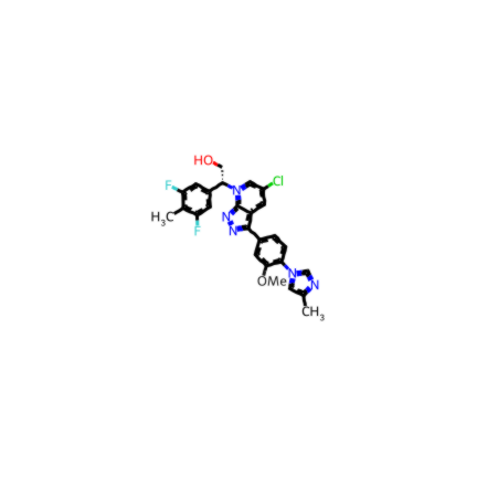 COc1cc(-c2nnc3n([C@@H](CO)c4cc(F)c(C)c(F)c4)cc(Cl)cc2-3)ccc1-n1cnc(C)c1